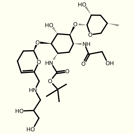 C[C@@H]1CO[C@H](O[C@@H]2[C@@H](O)[C@H](O[C@@H]3CCC=C(CNCC(O)CO)O3)[C@@H](NC(=O)OC(C)(C)C)C[C@H]2NC(=O)CO)[C@H](O)C1